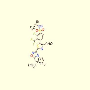 CC[C@H](NS(=O)(=O)c1ccc(-c2sc(-c3noc(CC(C)(C)C(=O)O)n3)nc2C=O)c(C(F)F)c1F)C(F)(F)F